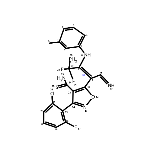 Cc1cccc(N/C(=C(\C=N)c2onc(-c3c(F)cccc3Cl)c2C(N)=S)C(F)(F)P)c1